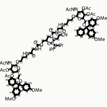 COc1ccc(C(OCC[C@H]2O[C@@H](OCCCNC(=O)CNC(=O)OCC(COC(=O)NCC(=O)NCCCO[C@@H]3O[C@H](COC(c4ccccc4)(c4ccc(OC)cc4)c4ccc(OC)cc4)[C@H](OC(C)=O)[C@H](OC(C)=O)[C@H]3NC(C)=O)OP(OCCC#N)N(C(C)C)C(C)C)[C@H](NC(C)=O)[C@@H](OC(C)=O)[C@H]2OC(C)=O)(c2ccccc2)c2ccc(OC)cc2)cc1